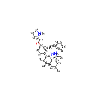 C=C1C(C)=C(c2ccc(OCC3CCCN3C)cc2)Cc2c1cc(C)cc2C(C)Nc1ccccc1C=O